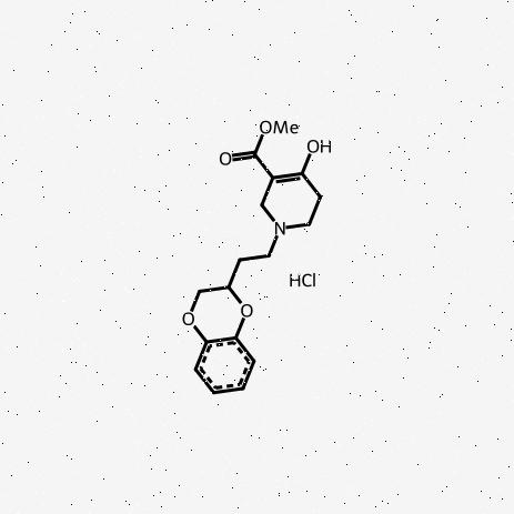 COC(=O)C1=C(O)CCN(CCC2COc3ccccc3O2)C1.Cl